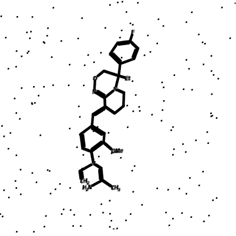 C=CN(/C=C(/C)N)c1ccc(/C=C2\CCCN3C2=NOCC3(CC)c2ccc(F)cc2)cc1OC